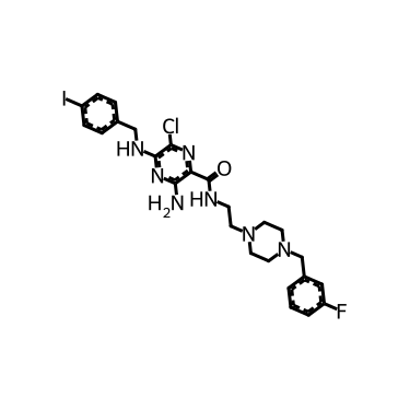 Nc1nc(NCc2ccc(I)cc2)c(Cl)nc1C(=O)NCCN1CCN(Cc2cccc(F)c2)CC1